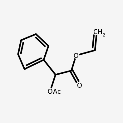 C=COC(=O)C(OC(C)=O)c1ccccc1